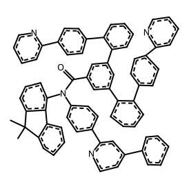 CC1(C)c2ccccc2-c2c(N(C(=O)c3cc(-c4ccccc4-c4ccc(-c5ccccn5)cc4)cc(-c4ccccc4-c4ccc(-c5ccccn5)cc4)c3)c3ccc(-c4cc(-c5ccccc5)ccn4)cc3)cccc21